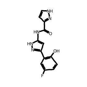 O=C(Nc1cc(-c2cc(F)ccc2O)n[nH]1)c1cc[nH]n1